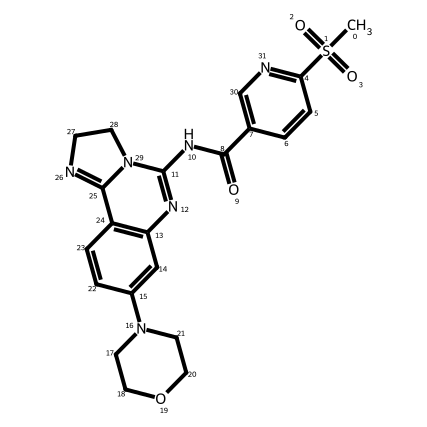 CS(=O)(=O)c1ccc(C(=O)NC2=Nc3cc(N4CCOCC4)ccc3C3=NCCN23)cn1